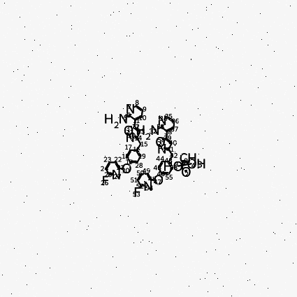 CP(=O)(O)O.Nc1ncccc1-c1cc(Cc2ccc(Oc3cccc(F)n3)cc2)no1.Nc1ncccc1-c1cc(Cc2ccc(Oc3cccc(F)n3)cc2)no1